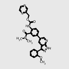 COc1ccccc1-c1n[nH]c2ncc(-c3ccc(NC(=O)OCc4cnccn4)c(C(=O)N(C)C)c3)cc12